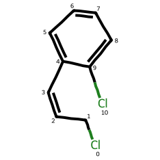 ClC/C=C\c1ccccc1Cl